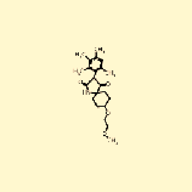 COCCOC1CCC2(CC1)NC(=O)C(c1c(C)cc(C)c(C)c1C)C2=O